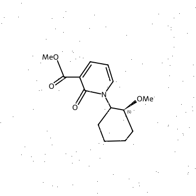 COC(=O)c1cccn(C2CCCC[C@@H]2OC)c1=O